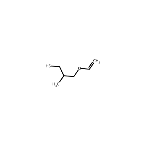 C=COCC(C)CS